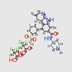 CCS(=O)(=O)c1cccc(-c2cc(C(=O)NC3CCN(C)CC3)c(C)c3[nH]c4ncc(C)cc4c23)c1.O=C(O)C(F)(F)F.O=C(O)C(F)(F)F